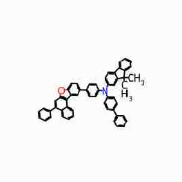 CC1(C)c2ccccc2-c2ccc(N(c3ccc(-c4ccccc4)cc3)c3ccc(-c4ccc5oc6cc(-c7ccccc7)c7ccccc7c6c5c4)cc3)cc21